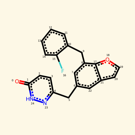 O=c1ccc(Cc2cc(Cc3ccccc3F)c3occc3c2)n[nH]1